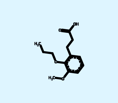 CCCOc1c(CCC(=O)O)cccc1OC